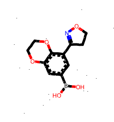 OB(O)c1cc2c(c(C3=NOCC3)c1)OCCO2